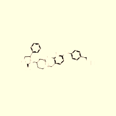 Cc1nc(Sc2ccc(C(=O)O)cc2)ccc1CN1CCC(N2C(=O)OCC2c2ccccc2)CC1